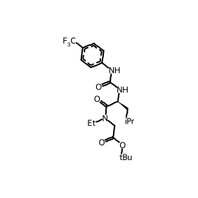 CCN(CC(=O)OC(C)(C)C)C(=O)[C@H](CC(C)C)NC(=O)Nc1ccc(C(F)(F)F)cc1